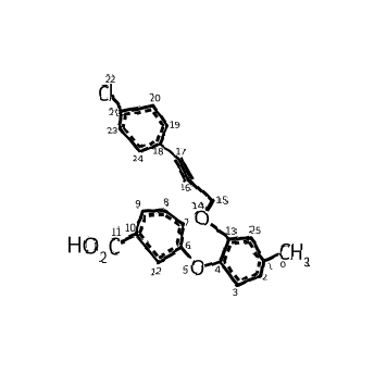 Cc1ccc(Oc2cccc(C(=O)O)c2)c(OCC#Cc2ccc(Cl)cc2)c1